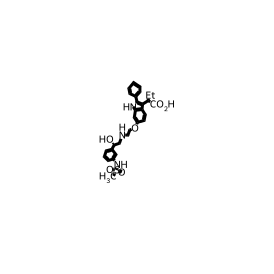 CCC(C(=O)O)c1c(-c2ccccc2)[nH]c2cc(OCCNC[C@H](O)c3cccc(NS(C)(=O)=O)c3)ccc12